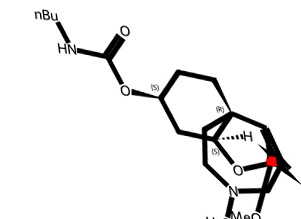 CCCCNC(=O)O[C@H]1CC[C@@]23CCN(C)Cc4ccc(OC)c(c42)O[C@H]3C1